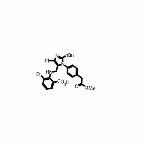 CCCCc1nc(Cl)c(CNc2c(CC)cccc2C(=O)O)n1-c1ccc(CC(=O)OC)cc1